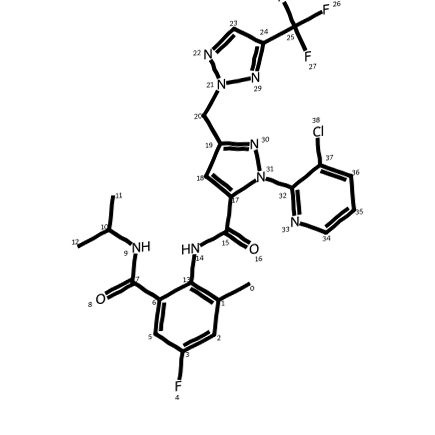 Cc1cc(F)cc(C(=O)NC(C)C)c1NC(=O)c1cc(Cn2ncc(C(F)(F)F)n2)nn1-c1ncccc1Cl